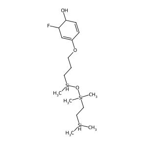 C[SiH](C)CC[Si](C)(C)O[SiH](C)CCCOC1=CC(F)C(O)C=C1